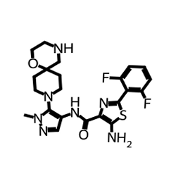 Cn1ncc(NC(=O)c2nc(-c3c(F)cccc3F)sc2N)c1N1CCC2(CC1)CNCCO2